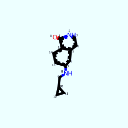 O=c1[nH]ccc2cc(NCC3CC3)ccc12